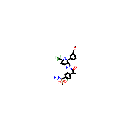 COCc1cccc(-c2nc(C(F)(F)F)ccc2CNC(=O)C(C)c2ccc(C(N)S(C)(=O)=O)c(F)c2)c1